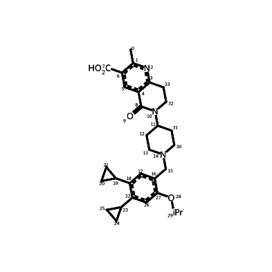 Cc1nc2c(cc1C(=O)O)C(=O)N(C1CCN(Cc3cc(C4CC4)c(C4CC4)cc3OC(C)C)CC1)CC2